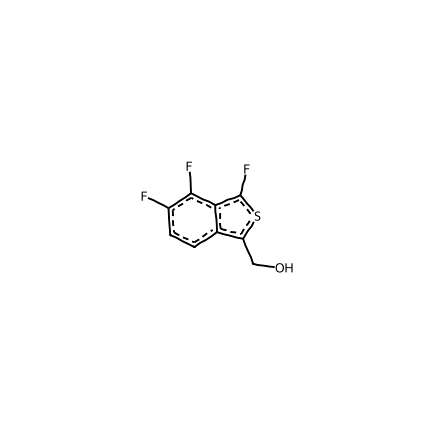 OCc1sc(F)c2c(F)c(F)ccc12